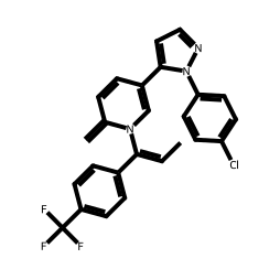 C=C1C=CC(c2ccnn2-c2ccc(Cl)cc2)=CN1/C(=C\C)c1ccc(C(F)(F)F)cc1